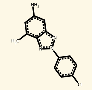 Cc1cc(N)cc2nn(-c3ccc(Cl)cc3)nc12